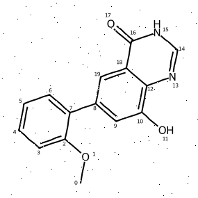 COc1ccccc1-c1cc(O)c2nc[nH]c(=O)c2c1